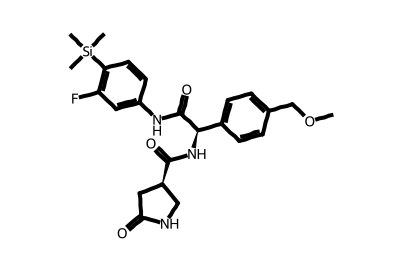 COCc1ccc([C@@H](NC(=O)[C@H]2CNC(=O)C2)C(=O)Nc2ccc([Si](C)(C)C)c(F)c2)cc1